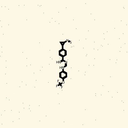 N=C(/N=C\Nc1ccc(OC(F)(F)F)cc1)c1ccc(C2CC2N=S)cc1